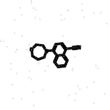 N#Cc1ccc(N2CCCOCC2)c2ccccc12